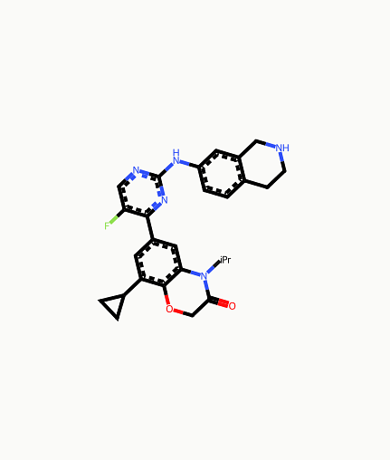 CC(C)N1C(=O)COc2c(C3CC3)cc(-c3nc(Nc4ccc5c(c4)CNCC5)ncc3F)cc21